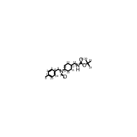 Cc1ccc(CN(C=O)C2CCC(CNC(=O)OC(C)(C)C)CC2)cc1